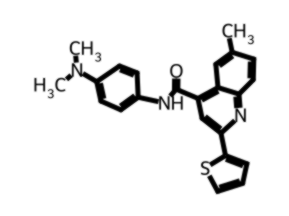 Cc1ccc2nc(-c3cccs3)cc(C(=O)Nc3ccc(N(C)C)cc3)c2c1